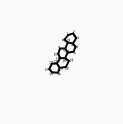 [CH]1CCCC2CCC3C(CCC4C5CCCCC5CCC43)C12